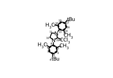 Cc1cc(C(C)(C)C)cc(C)c1N1CCN(c2c(C)cc(C(C)(C)C)cc2C)C1C(Cl)(Cl)Cl